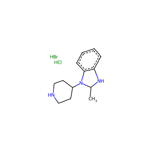 Br.CC1Nc2ccccc2N1C1CCNCC1.Cl